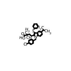 CC(C)c1ccc2c(c1)c(Sc1ccccc1)c(CCC(C)(C)C(=O)O)n2Cc1ccc(Cl)cc1